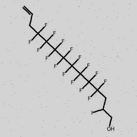 C=CCC(F)(F)C(F)(F)C(F)(F)C(F)(F)C(F)(F)C(F)(F)C(F)(F)C(F)(F)CC(I)CO